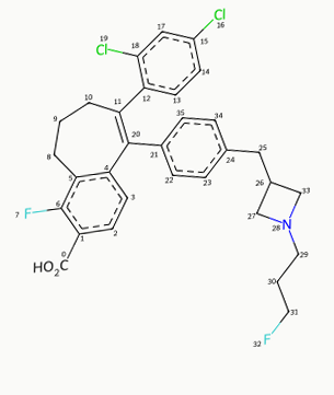 O=C(O)c1ccc2c(c1F)CCCC(c1ccc(Cl)cc1Cl)=C2c1ccc(CC2CN(CCCF)C2)cc1